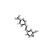 CN(C)c1ccc(C=Cc2ccnc(I)c2)cc1